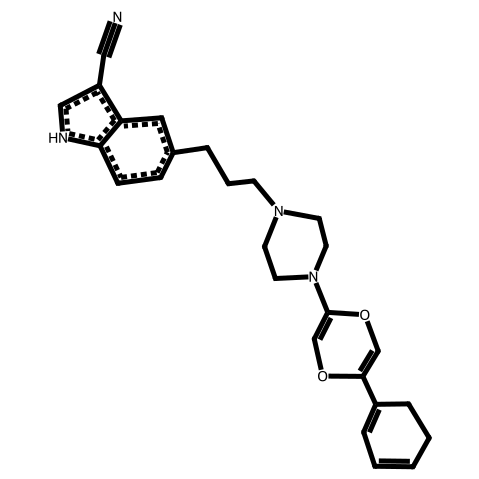 N#Cc1c[nH]c2ccc(CCCN3CCN(C4=COC(C5=CC=CCC5)=CO4)CC3)cc12